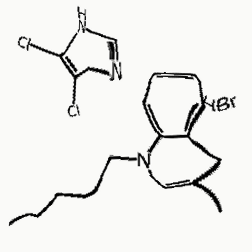 Br.CCCCCN1C=C(C)Cc2ccccc21.Clc1nc[nH]c1Cl